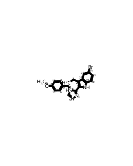 CCc1c(C2=NN=C[SH]2Cc2ccc(OC)cc2)[nH]c2ccc(Br)cc12